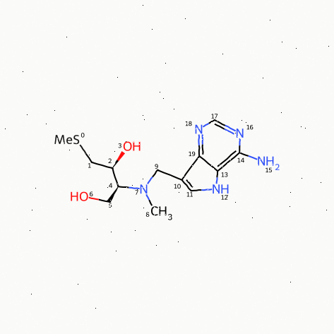 CSC[C@@H](O)[C@H](CO)N(C)Cc1c[nH]c2c(N)ncnc12